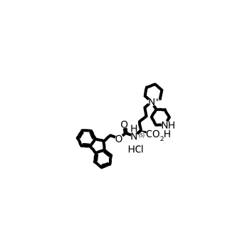 Cl.O=C(N[C@@H](CCC[N+]1(C2CCNCC2)CCCCC1)C(=O)O)OCC1c2ccccc2-c2ccccc21